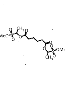 COS(=O)(=O)C(C)OC(=O)CCCCC(=O)OC(C)S(=O)(=O)OC